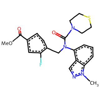 COC(=O)c1ccc(CN(C(=O)N2CCSCC2)c2cccc3c2cnn3C)c(F)c1